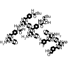 CC(C)(C)C(=O)Nc1ccc(-c2cnc3nc(N)nc(N4CCOCC4)c3n2)cc1.CC(C)(C)OC(=O)N[C@@H](CO)C(=O)Nc1ccc(-c2cnc3nc(N)nc(N4CCOCC4)c3n2)cc1.CC(C)C(=O)Nc1ccc(-c2cnc3nc(N)nc(N4CCOCC4)c3n2)cc1.Nc1nc(N2CCOCC2)c2nc(-c3cc(F)c(F)c(F)c3)cnc2n1.Nc1nc(N2CCOCC2)c2nc(-c3ccc4c(c3)CC(=O)N4)cnc2n1